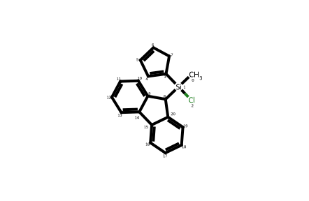 C[Si](Cl)(C1=CC=CC1)C1c2ccccc2-c2ccccc21